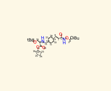 CC(C)COC(C)ONC(=O)/C=C/c1ccc(CN[C@H](COC(C)(C)C)C(=O)OC2CCCC2)cc1